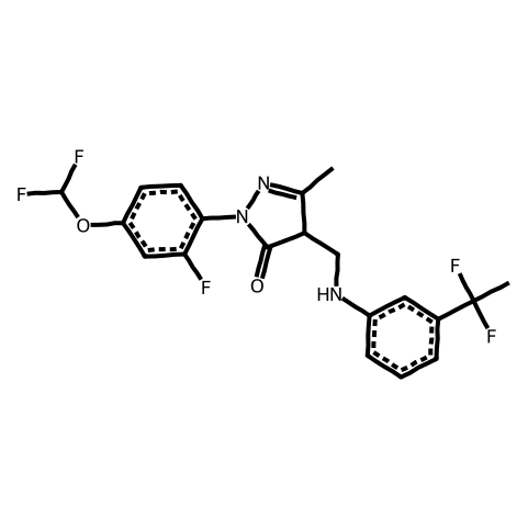 CC1=NN(c2ccc(OC(F)F)cc2F)C(=O)C1CNc1cccc(C(C)(F)F)c1